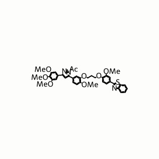 COc1cc(-c2nc3ccccc3s2)ccc1OCCCOc1cc(-c2cc(-c3cc(OC)c(OC)c(OC)c3)nn2C(C)=O)ccc1OC